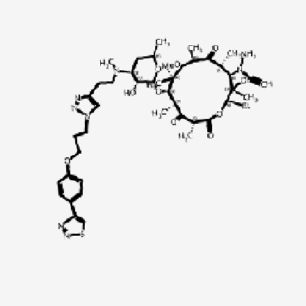 C#CN(N)[C@@H]1[C@@H](C)C(=O)[C@H](C)C[C@@](C)(OC)[C@H](O[C@@H]2O[C@H](C)C[C@H](N(C)CCc3cn(CCCOc4ccc(-c5csnn5)cc4)nn3)[C@H]2O)[C@@H](C)C(=O)[C@@H](C)C(=O)O[C@H](CC)[C@@]1(C)O